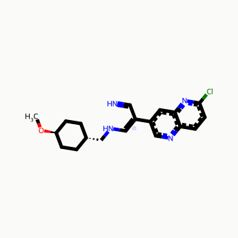 CO[C@H]1CC[C@H](CN/C=C(\C=N)c2cnc3ccc(Cl)nc3c2)CC1